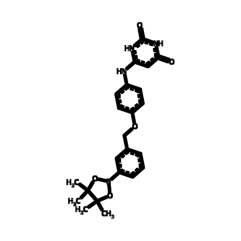 CC1(C)OB(c2cccc(COc3ccc(Nc4cc(=O)[nH]c(=O)[nH]4)cc3)c2)OC1(C)C